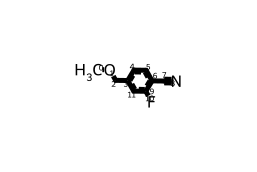 COCc1ccc(C#N)c(F)c1